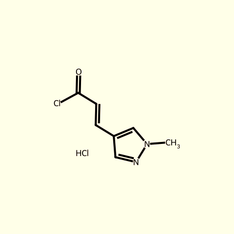 Cl.Cn1cc(/C=C/C(=O)Cl)cn1